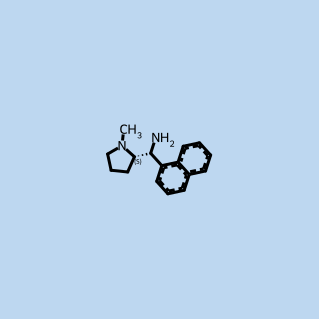 CN1CCC[C@H]1C(N)c1cccc2ccccc12